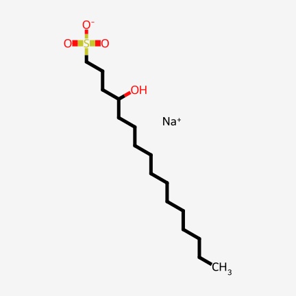 CCCCCCCCCCCCC(O)CCCS(=O)(=O)[O-].[Na+]